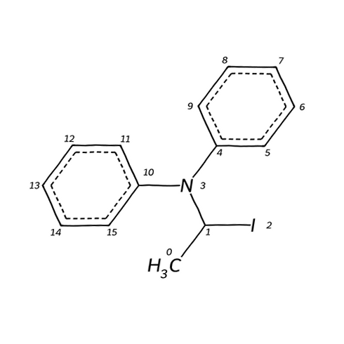 CC(I)N(c1ccccc1)c1ccccc1